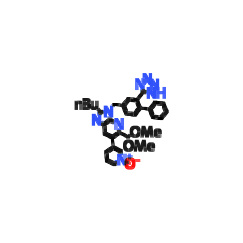 CCCCc1nc2cc(-c3ccc[n+]([O-])c3)c(C(OC)OC)nc2n1Cc1ccc(-c2ccccc2)c(-c2nnn[nH]2)c1